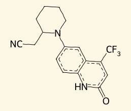 N#CCC1CCCCN1c1ccc2[nH]c(=O)cc(C(F)(F)F)c2c1